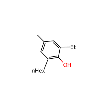 CCCCCCc1cc(C)cc(CC)c1O